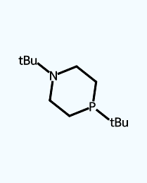 CC(C)(C)N1CCP(C(C)(C)C)CC1